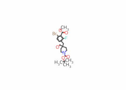 COC(=O)c1c(Br)ccc(CC2(C=O)CCN(C(=O)OC(C)(C)C)CC2)c1F